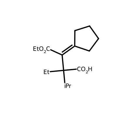 CCOC(=O)C(=C1CCCC1)C(CC)(C(=O)O)C(C)C